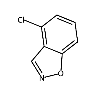 Clc1cccc2oncc12